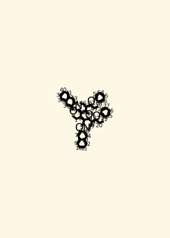 CCC1=C2c3oc4cc5ccccc5cc4[n+]3CC(C(CC)Oc3ccccc3)C2OC2C1=C1Oc3cc4ccccc4cc3N1CC2C(CC)Oc1ccccc1